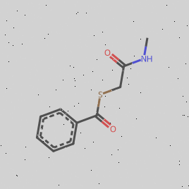 CNC(=O)CSC(=O)c1ccccc1